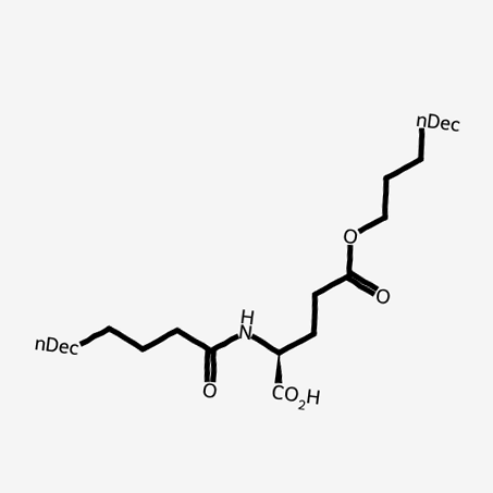 CCCCCCCCCCCCCOC(=O)CC[C@H](NC(=O)CCCCCCCCCCCCC)C(=O)O